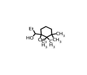 CCC(O)C1(C)CCCC(C)(C)C1(C)C